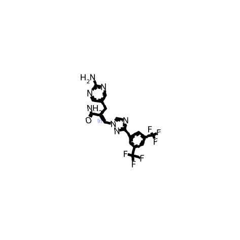 NC(=O)/C(=C/n1cnc(-c2cc(C(F)(F)F)cc(C(F)(F)F)c2)n1)Cc1cnc(N)nc1